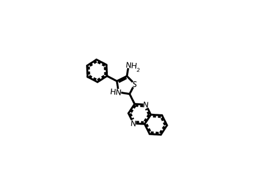 NC1=C(c2ccccc2)NC(c2cnc3ccccc3n2)S1